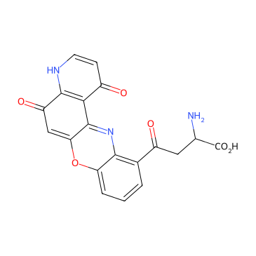 NC(CC(=O)c1cccc2oc3cc(=O)c4[nH]ccc(=O)c4c-3nc12)C(=O)O